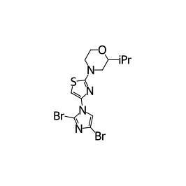 CC(C)C1CN(c2nc(-n3cc(Br)nc3Br)cs2)CCO1